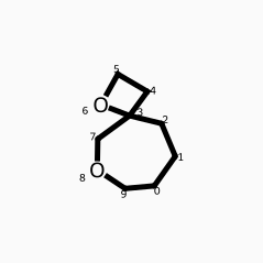 C1CCC2(CCO2)COC1